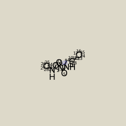 O=C(CN1C(=O)N/C(=C\c2cc(-c3ccccc3)cs2)C1=O)Nc1ccccc1